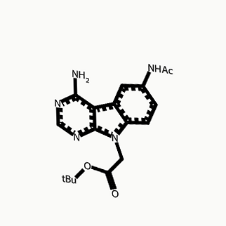 CC(=O)Nc1ccc2c(c1)c1c(N)ncnc1n2CC(=O)OC(C)(C)C